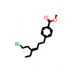 CCC(=CCCc1ccc(C(=O)OC)cc1)CCBr